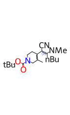 CCCC/C(NC)=C(/C#N)C1=C(C)CN(C(=O)OC(C)(C)C)CC1